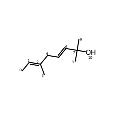 C/C=C(\C)C/C=C/C(C)(C)O